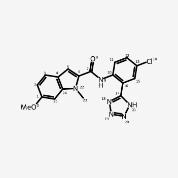 COc1ccc2cc(C(=O)Nc3ccc(Cl)cc3-c3nnn[nH]3)n(C)c2c1